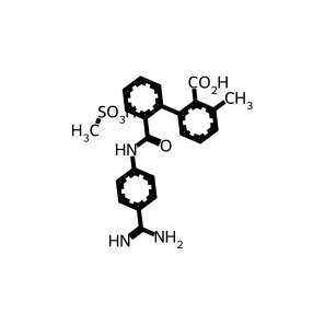 CS(=O)(=O)O.Cc1cccc(-c2ccccc2C(=O)Nc2ccc(C(=N)N)cc2)c1C(=O)O